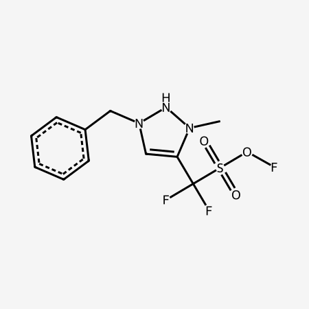 CN1NN(Cc2ccccc2)C=C1C(F)(F)S(=O)(=O)OF